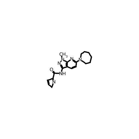 Cn1nc(NC(=O)C2=NCC=C2)c2ccc(N3CCCCCC3)nc21